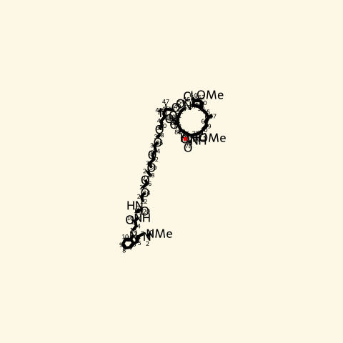 CNN(C)Cc1cc2ccccc2n1CCC(=O)NCC(=O)NCCOCCOCCOCCOCCOCCOCCC(=O)N(C)[C@@H](C)C(=O)O[C@H]1CC(=O)N(C)c2cc(cc(OC)c2Cl)C/C(C)=C/C=C/[C@@H](OC)[C@H]2C[C@H](OC(=O)N2)[C@@H](C)C2O[C@]21C